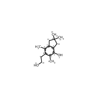 Cc1c(O)c2c(c(C)c1CCO)CC(C)(C)C2